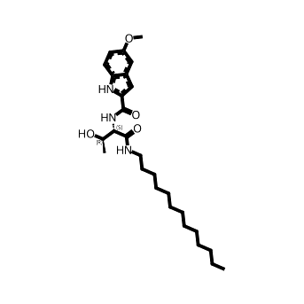 CCCCCCCCCCCCCNC(=O)[C@@H](NC(=O)c1cc2cc(OC)ccc2[nH]1)[C@@H](C)O